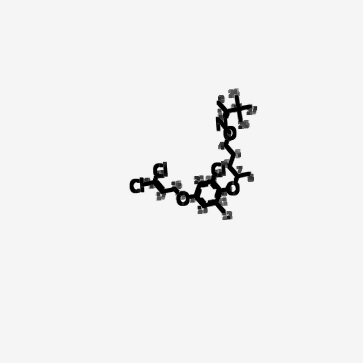 CC(=NOCCCC(C)Oc1c(C)cc(OCC=C(Cl)Cl)cc1Cl)C(C)(C)C